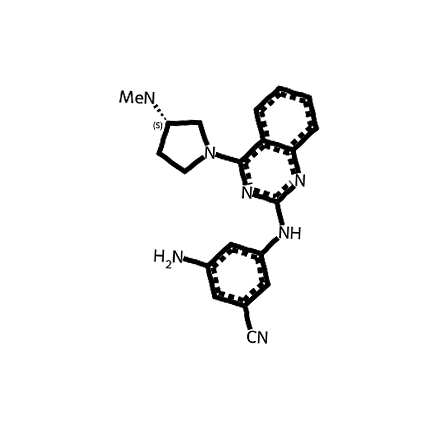 CN[C@H]1CCN(c2nc(Nc3cc(N)cc(C#N)c3)nc3ccccc23)C1